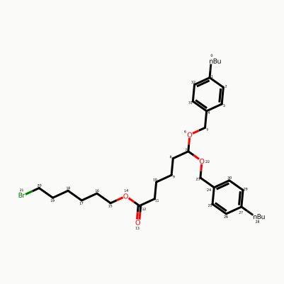 CCCCc1ccc(COC(CCCCC(=O)OCCCCCCBr)OCc2ccc(CCCC)cc2)cc1